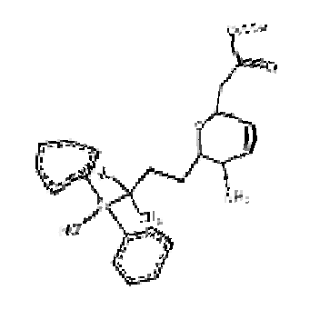 COC(=O)CC1C=CC(N)C(CCC(C)(C)[Si](O)(c2ccccc2)c2ccccc2)O1